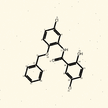 O=C(Nc1cc(Cl)ccc1OCc1ccccc1)c1cc(Cl)ccc1O